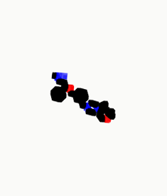 CCC1(N2CCN(Cc3cccc(COC(CCNC)c4ccccc4)c3)CC2)CCOC(C)(C)C1